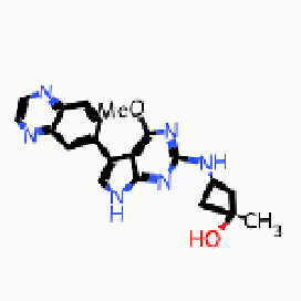 COc1nc(N[C@H]2C[C@](C)(O)C2)nc2[nH]cc(-c3ccc4nccnc4c3)c12